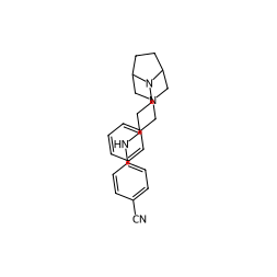 N#Cc1ccc(NCCCN2C3CCC2CN(Cc2ccccc2)C3)cc1